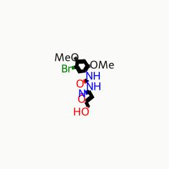 COc1cc(OC)c(NC(=O)Nc2cc(CO)on2)cc1Br